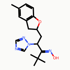 Cc1ccc2c(c1)CC(CC(C(=NO)C(C)(C)C)n1cncn1)O2